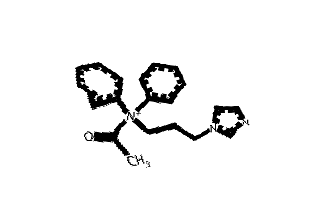 CC(=O)[N+](CCCn1ccnc1)(c1ccccc1)c1ccccc1